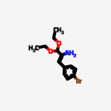 CCOC(OCC)C(N)=Cc1ccc(Br)cc1